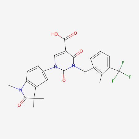 Cc1c(Cn2c(=O)c(C(=O)O)cn(-c3ccc4c(c3)C(C)(C)C(=O)N4C)c2=O)cccc1C(F)(F)F